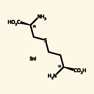 N[C@@H](CCSC[C@H](N)C(=O)O)C(=O)O.[Sn]